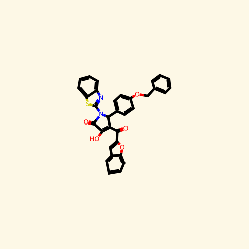 O=C(C1=C(O)C(=O)N(c2nc3ccccc3s2)C1c1ccc(OCc2ccccc2)cc1)c1cc2ccccc2o1